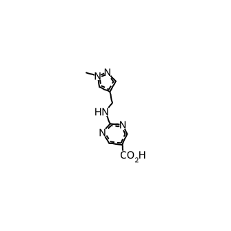 Cn1cc(CNc2ncc(C(=O)O)cn2)cn1